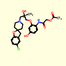 C[C@@](O)(COc1cc(O)ccc1NC(=O)COC(=O)C(F)(F)F)CN1CCC2(CC1)Cc1cc(Cl)ccc1O2